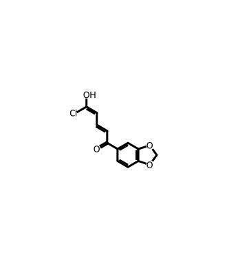 O=C(/C=C/C=C(/O)Cl)c1ccc2c(c1)OCO2